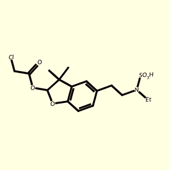 CCN(CCc1ccc2c(c1)C(C)(C)C(OC(=O)CCl)O2)S(=O)(=O)O